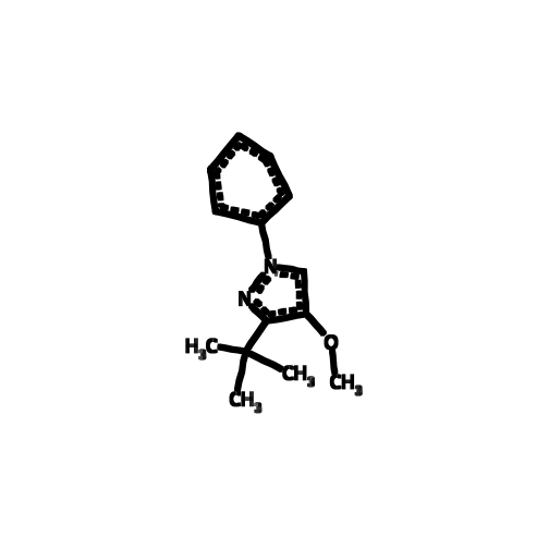 COc1cn(-c2ccccc2)nc1C(C)(C)C